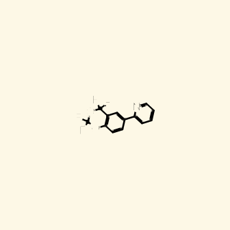 FC1(F)Oc2ccc(-c3ccccn3)cc2C(F)(F)O1